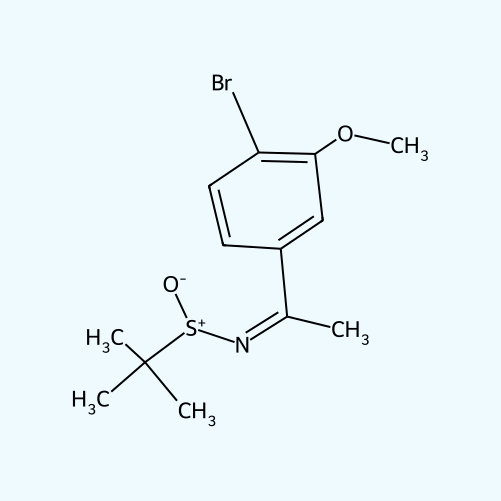 COc1cc(/C(C)=N\[S+]([O-])C(C)(C)C)ccc1Br